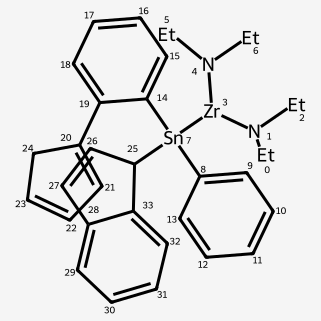 CC[N](CC)[Zr]([N](CC)CC)[Sn]([c]1ccccc1)([c]1ccccc1C1=CC=CC1)[CH]1C=Cc2ccccc21